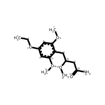 CCOc1cc(OC)c(CC(CC(N)=O)OC)c(OC)c1